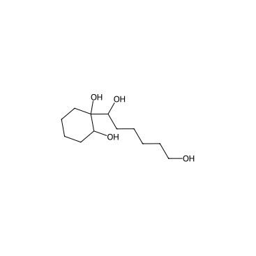 OCCCCCC(O)C1(O)CCCCC1O